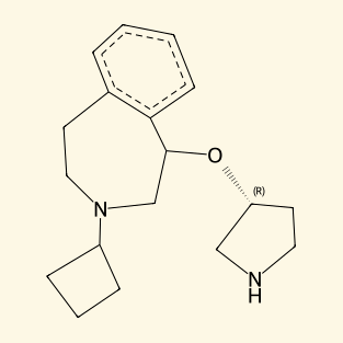 c1ccc2c(c1)CCN(C1CCC1)CC2O[C@@H]1CCNC1